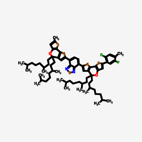 Cc1cc2c(s1)-c1sc(-c3ccc(-c4cc5c(s4)-c4sc(-c6cc(F)c(C)cc6F)cc4OC5(CCC(C)CCCC(C)C)CCC(C)CCCC(C)C)c4nsnc34)cc1C(CCC(C)CCCC(C)C)(CCC(C)CCCC(C)C)O2